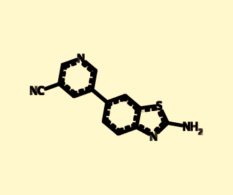 N#Cc1cncc(-c2ccc3nc(N)sc3c2)c1